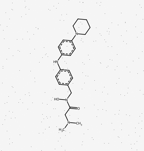 CN(C)CC(=O)N(O)Cc1ccc(Nc2ccc(N3CCCCC3)cc2)cc1